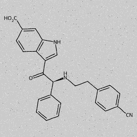 N#Cc1ccc(CCN[C@H](C(=O)c2c[nH]c3cc(C(=O)O)ccc23)c2ccccc2)cc1